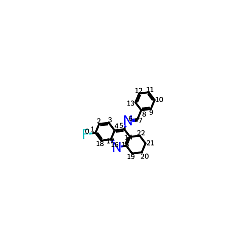 Fc1ccc2c(N=Cc3ccccc3)c3c(nc2c1)CCCC3